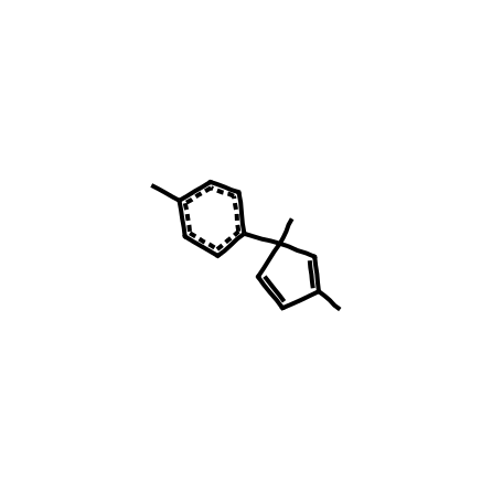 CC1=CC(C)(c2ccc(C)cc2)C=C1